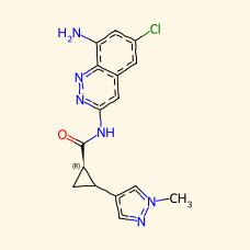 Cn1cc(C2C[C@H]2C(=O)Nc2cc3cc(Cl)cc(N)c3nn2)cn1